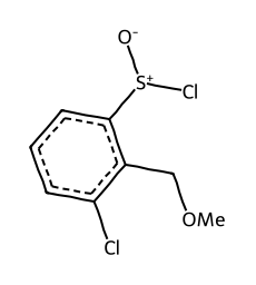 COCc1c(Cl)cccc1[S+]([O-])Cl